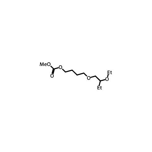 CCOC(CC)COCCCCOC(=O)OC